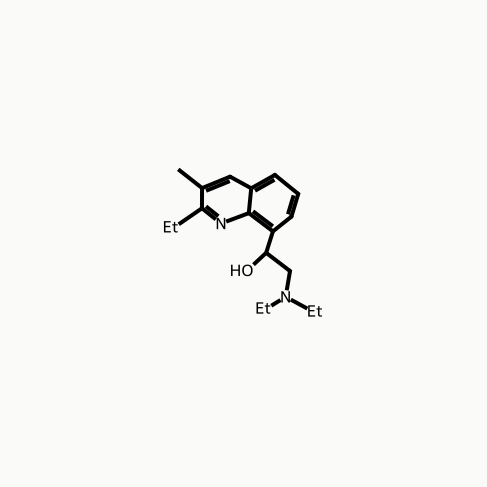 CCc1nc2c(C(O)CN(CC)CC)cccc2cc1C